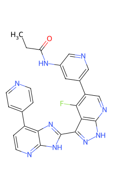 CCC(=O)Nc1cncc(-c2cnc3[nH]nc(-c4nc5c(-c6ccncc6)ccnc5[nH]4)c3c2F)c1